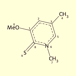 COc1cc(C)cn(C)c1=S